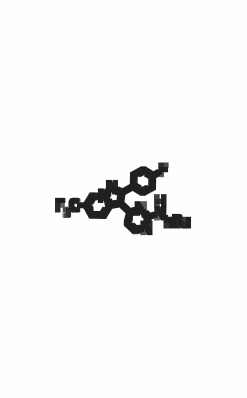 CCCCNc1nccc(-c2c(-c3ccc(F)cc3)nn3cc(C(F)(F)F)ccc23)n1